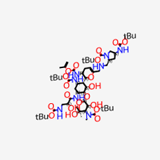 C=C(C)OC(=O)N[C@@H]1CC=C(CNC[C@@H]2C[C@H](NC(=O)OC(C)(C)C)CN2C(=O)OC(C)(C)C)O[C@@H]1C1[C@@H](NC(=O)OC(C)(C)C)C[C@@H](NC(=O)[C@@H](O)CNC(=O)OC(C)(C)C)[C@H](O[C@H]2OC[C@](C)(O)[C@H](N(C)C(=O)OC(C)(C)C)[C@H]2O)[C@H]1O